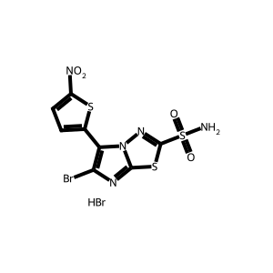 Br.NS(=O)(=O)c1nn2c(-c3ccc([N+](=O)[O-])s3)c(Br)nc2s1